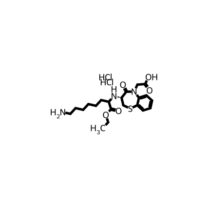 CCOC(=O)C(CCCCCCN)N[C@H]1CSc2ccccc2N(CC(=O)O)C1=O.Cl.Cl